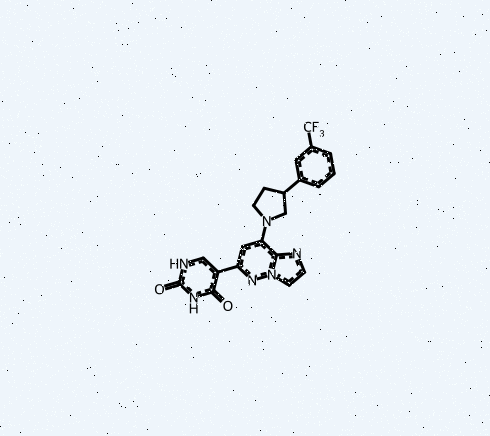 O=c1[nH]cc(-c2cc(N3CCC(c4cccc(C(F)(F)F)c4)C3)c3nccn3n2)c(=O)[nH]1